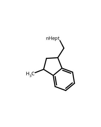 CCCCCCCCC1CC(C)c2ccccc21